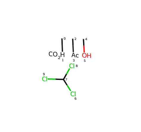 CC(=O)O.CC(C)=O.CO.ClC(Cl)Cl